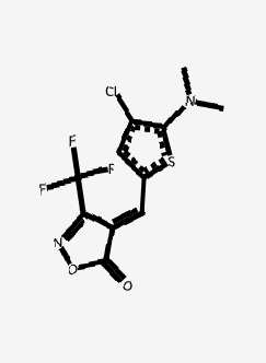 CN(C)c1sc(/C=C2/C(=O)ON=C2C(F)(F)F)cc1Cl